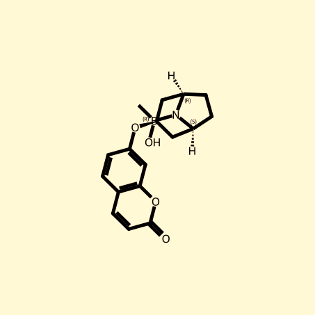 CB(O)N1[C@@H]2CC[C@H]1C[C@@H](Oc1ccc3ccc(=O)oc3c1)C2